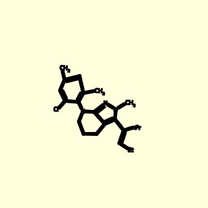 CCC=C(CCC)c1c2c(nn1C)N(c1c(C)cc(C)cc1Cl)CCC2